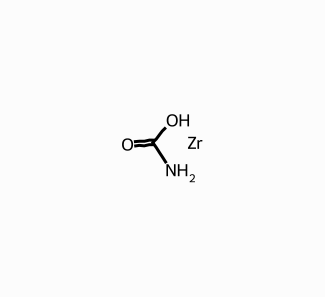 NC(=O)O.[Zr]